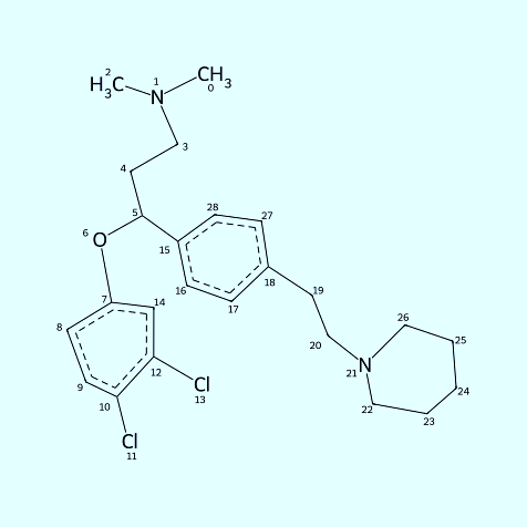 CN(C)CCC(Oc1ccc(Cl)c(Cl)c1)c1ccc(CCN2CCCCC2)cc1